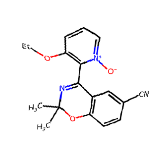 CCOc1ccc[n+]([O-])c1C1=NC(C)(C)Oc2ccc(C#N)cc21